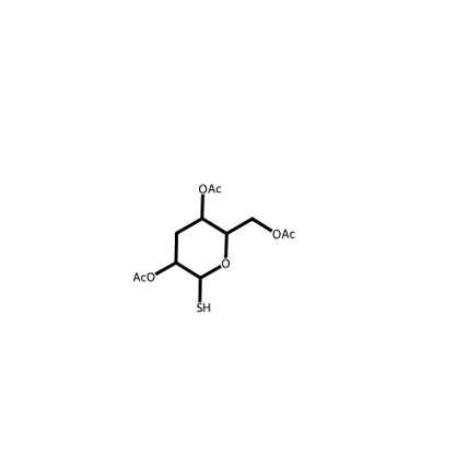 CC(=O)OCC1OC(S)C(OC(C)=O)CC1OC(C)=O